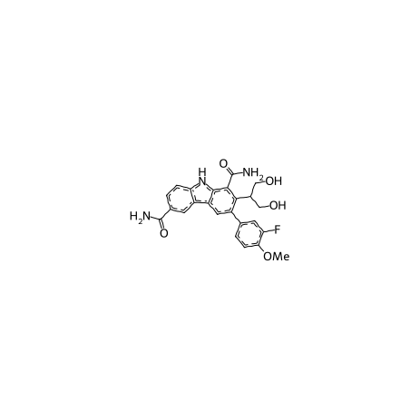 COc1ccc(-c2cc3c([nH]c4ccc(C(N)=O)cc43)c(C(N)=O)c2C(CO)CO)cc1F